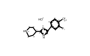 Cl.Fc1cc(-c2c[nH]c(C3CCNCC3)n2)ccc1C(F)(F)F